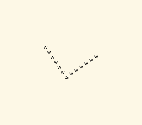 [W].[W].[W].[W].[W].[W].[W].[W].[W].[W].[W].[W].[Zn]